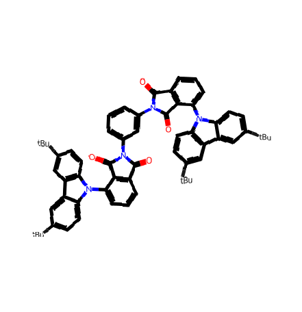 CC(C)(C)c1ccc2c(c1)c1cc(C(C)(C)C)ccc1n2-c1cccc2c1C(=O)N(c1cccc(N3C(=O)c4cccc(-n5c6ccc(C(C)(C)C)cc6c6cc(C(C)(C)C)ccc65)c4C3=O)c1)C2=O